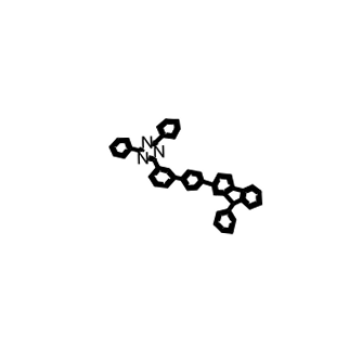 c1ccc(-c2nc(-c3ccccc3)nc(-c3cccc(-c4ccc(-c5ccc6c(c5)C(c5ccccc5)c5ccccc5-6)cc4)c3)n2)cc1